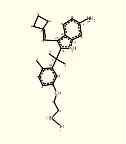 CCNCCOc1ccc(C)c(C(C)(C)c2[nH]c3cc(N)ccc3c2C=C2CCC2)c1